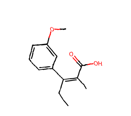 CCC(=C(C)C(=O)O)c1cccc(OC)c1